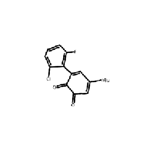 CCCCC1=CC(=O)C(=O)C(c2c(F)cccc2Cl)=C1